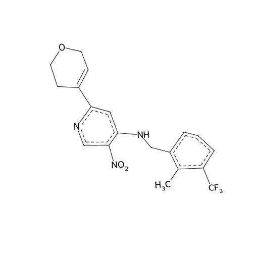 Cc1c(CNc2cc(C3=CCOCC3)ncc2[N+](=O)[O-])cccc1C(F)(F)F